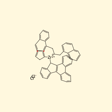 C1=CC[C]([Zr+2](=[C](Cc2cccc3ccccc23)Cc2cccc3ccccc23)[CH]2c3ccccc3-c3c2c2ccccc2c2ccccc32)=C1.[Cl-].[Cl-]